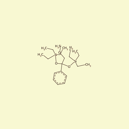 CC[Si](CC)(CC)OC(CO[SiH3])(O[Si](CC)(CC)CC)c1ccccc1